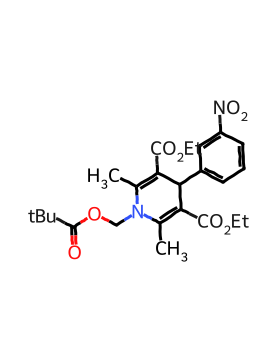 CCOC(=O)C1=C(C)N(COC(=O)C(C)(C)C)C(C)=C(C(=O)OCC)C1c1cccc([N+](=O)[O-])c1